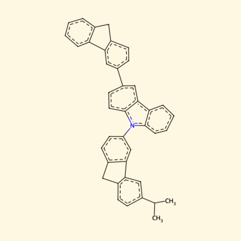 CC(C)c1ccc2c(c1)-c1cc(-n3c4ccccc4c4cc(-c5ccc6c(c5)-c5ccccc5C6)ccc43)ccc1C2